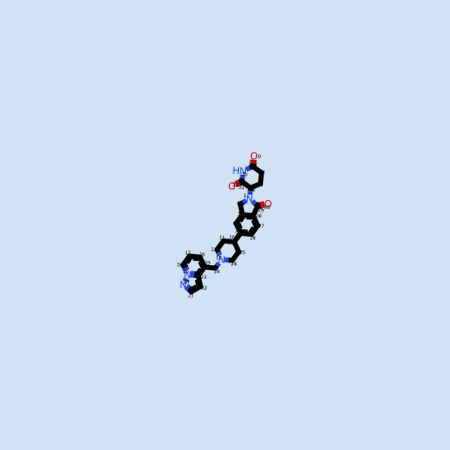 O=C1CCC(N2Cc3cc(C4CCN(Cc5cccn6nccc56)CC4)ccc3C2=O)C(=O)N1